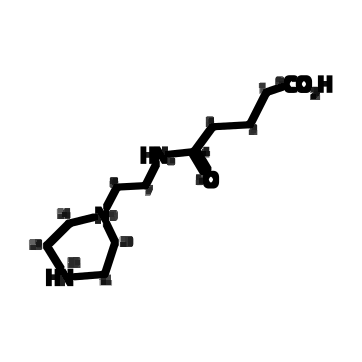 O=C(O)CCCC(=O)NCCN1CCNCC1